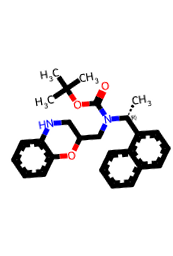 C[C@H](c1cccc2ccccc12)N(CC1CNc2ccccc2O1)C(=O)OC(C)(C)C